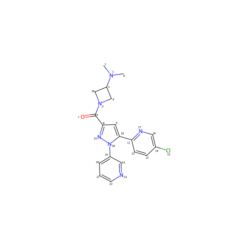 CN(C)C1CN(C(=O)c2cc(-c3ccc(Cl)cn3)n(-c3cccnc3)n2)C1